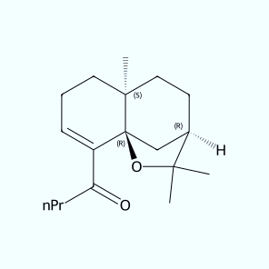 CCCC(=O)C1=CCC[C@@]2(C)CC[C@@H]3C[C@]12OC3(C)C